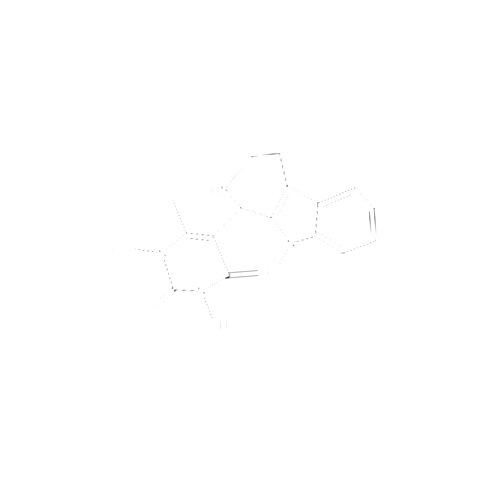 Cn1c(O)c(C2NCCc3c2n(C)c2ccccc32)c(=O)n(C)c1=O